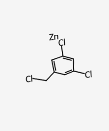 ClCc1cc(Cl)cc(Cl)c1.[Zn]